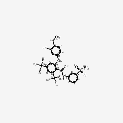 NS(=O)(=O)c1cccc(NC(=O)c2c(Oc3ccc(CO)c(F)c3)cc(C(F)(F)F)cc2C(F)(F)F)c1